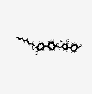 CCCCCCCOc1ccc(-c2ccc(OCc3ccc(C4CCC(C)CC4)c(F)c3F)cc2)cc1F